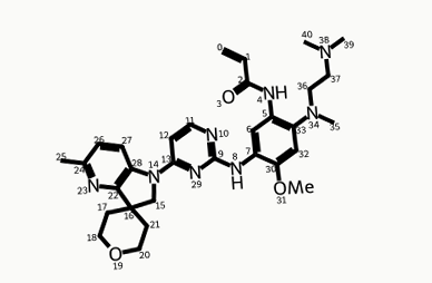 C=CC(=O)Nc1cc(Nc2nccc(N3CC4(CCOCC4)c4nc(C)ccc43)n2)c(OC)cc1N(C)CCN(C)C